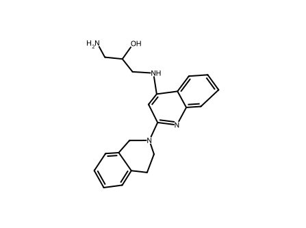 NCC(O)CNc1cc(N2CCc3ccccc3C2)nc2ccccc12